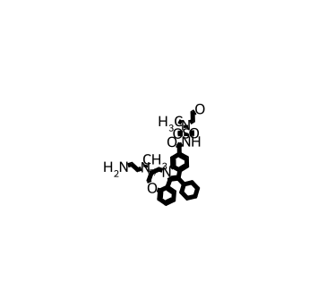 CN(CCN)[C@H]1COc2ccccc2-c2c(C3CCCCC3)c3ccc(C(=O)NS(=O)(=O)N(C)CC=O)cc3n2C1